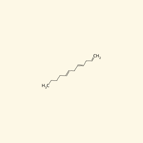 C=CCC=CCC=CCCCC